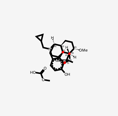 COC(=O)O.CO[C@@]12CC[C@@]3(C[C@@H]1[C@](C)(O)C(C)(C)C)[C@H]1Cc4ccc(O)c5c4[C@@]3(CCN1CC1CC1)[C@H]2O5